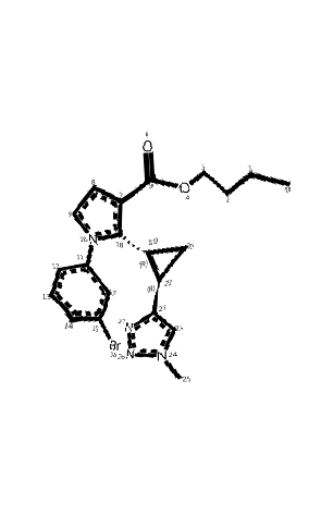 CCCCOC(=O)c1ccn(-c2cccc(Br)c2)c1[C@@H]1C[C@H]1c1cn(C)nn1